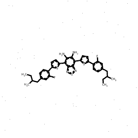 CCC(C)Cc1ccc(-c2ccc(-c3c(N)c(N)c(-c4ccc(-c5ccc(CC(C)CC)cc5F)s4)c4nsnc34)s2)c(F)c1